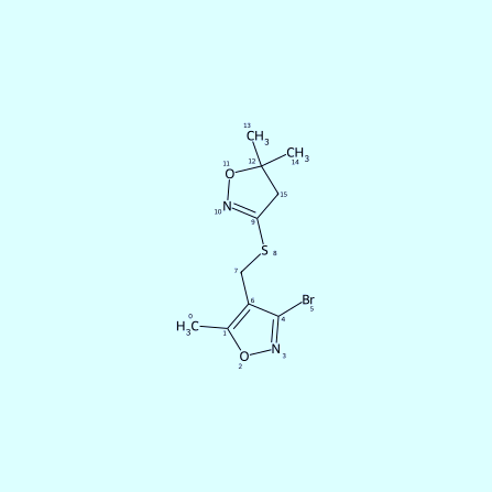 Cc1onc(Br)c1CSC1=NOC(C)(C)C1